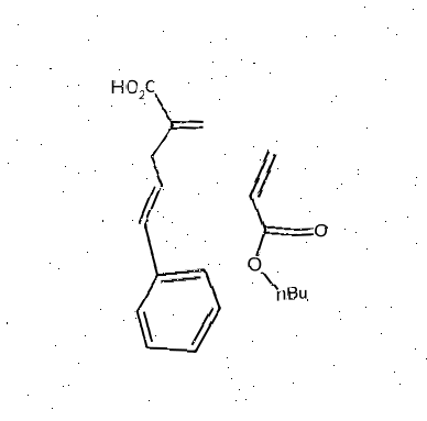 C=C(CC=Cc1ccccc1)C(=O)O.C=CC(=O)OCCCC